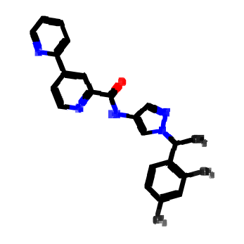 CC(c1ccc(C(F)(F)F)cc1C(F)(F)F)n1cc(NC(=O)c2cc(-c3ccccn3)ccn2)cn1